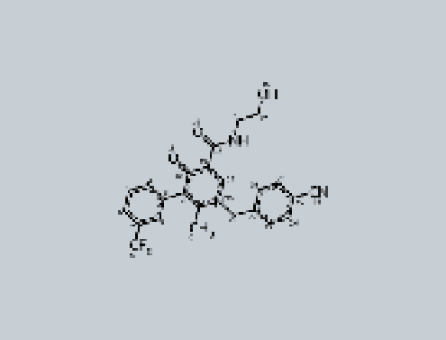 Cc1c(-c2cccc(C(F)(F)F)c2)c(=O)c(C(=O)NCCO)cn1Cc1ccc(C#N)cc1